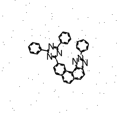 c1ccc(-c2nc(-c3ccccc3)nc(-c3ccc4ccc5ccc6nn(-c7ccccc7)nc6c5c4c3)n2)cc1